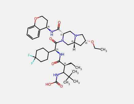 CCO[C@@H]1C[C@@H]2CN(C(=O)[C@@H](NC(=O)[C@@H](CC)C(NC(=O)O)C(C)(C)C)C3CCC(F)(F)CC3)[C@H](C(=O)N[C@@H]3CCOc4ccccc43)CN2C1